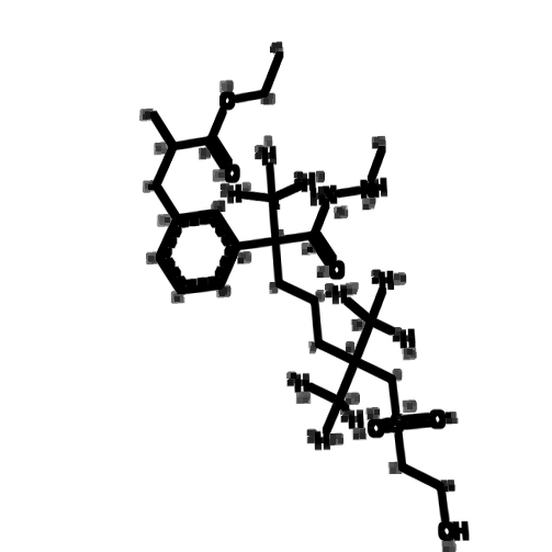 [2H]C([2H])([2H])C(CCCC(CS(=O)(=O)CCO)(C([2H])([2H])[2H])C([2H])([2H])[2H])(C(=O)NNC)c1cccc(CC(C)C(=O)OCC)c1